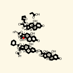 CC(C)C(=O)OCC(=O)[C@@]12O[C@H](C3CCCCC3)O[C@@H]1C[C@H]1[C@@H]3CCC4=CC(=O)C=C[C@]4(C)[C@H]3[C@@H](O)C[C@@]12C.CCC(=O)O.CCC[C@@H]1O[C@@H]2C[C@H]3[C@@H]4CCC5=CC(=O)C=C[C@]5(C)[C@H]4[C@@H](O)C[C@]3(C)[C@]2(C(=O)CO)O1.C[C@@H]1C[C@H]2[C@@H]3CCC4=CC(=O)C=C[C@]4(C)[C@@]3(Cl)[C@@H](O)C[C@]2(C)[C@@]1(OC(=O)c1ccco1)C(=O)CCl.C[C@@H]1C[C@H]2[C@@H]3CCC4=CC(=O)C=C[C@]4(C)[C@@]3(F)[C@@H](O)C[C@]2(C)[C@@]1(O)C(=O)CO